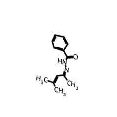 CC(C)=CC(C)=NNC(=O)c1ccccc1